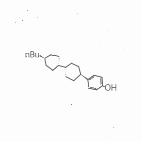 CCCC[C@H]1CC[C@H]([C@H]2CC[C@H](c3ccc(O)cc3)CC2)CC1